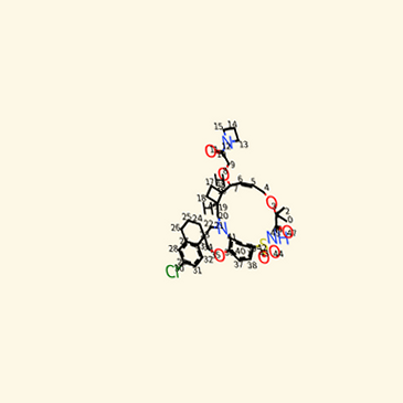 CC1(C)OCC=C[C@H](OCC(=O)N2CCC2)[C@@H]2CC[C@H]2CN2C[C@@]3(CCCc4cc(Cl)ccc43)COc3ccc(cc32)S(=O)(=O)NC1=O